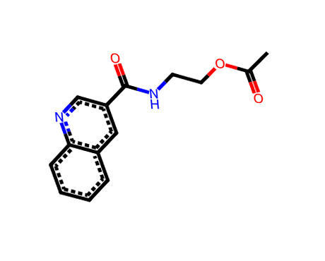 CC(=O)OCCNC(=O)c1cnc2ccccc2c1